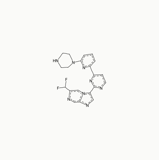 FC(F)c1cn2c(-c3nccc(-c4cccc(N5CCNCC5)n4)n3)cnc2cn1